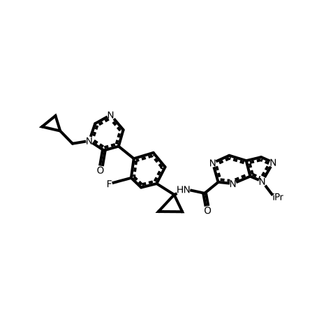 CC(C)n1ncc2cnc(C(=O)NC3(c4ccc(-c5cncn(CC6CC6)c5=O)c(F)c4)CC3)nc21